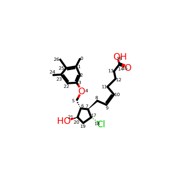 Cc1cc(OC[C@@H]2[C@@H](C/C=C\CCCC(=O)O)[C@H](Cl)C[C@H]2O)cc(C)c1C